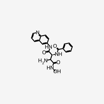 NC(C(=O)NO)[C@H](NC(=O)c1ccccc1)C(=O)Nc1ccc2ncccc2c1